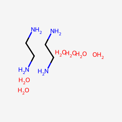 NCCN.NCCN.O.O.O.O.O.O